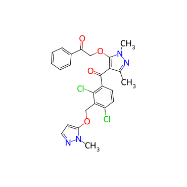 Cc1nn(C)c(OCC(=O)c2ccccc2)c1C(=O)c1ccc(Cl)c(COc2ccnn2C)c1Cl